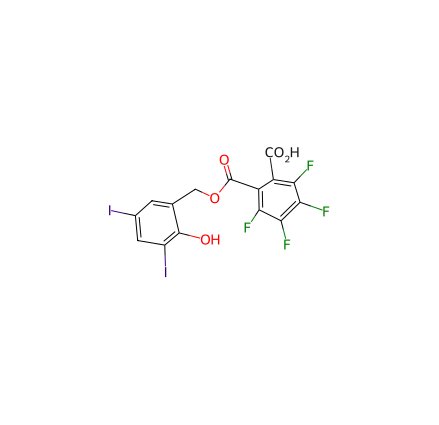 O=C(O)c1c(F)c(F)c(F)c(F)c1C(=O)OCc1cc(I)cc(I)c1O